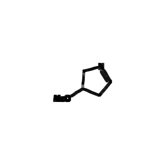 COC1CC=NC1